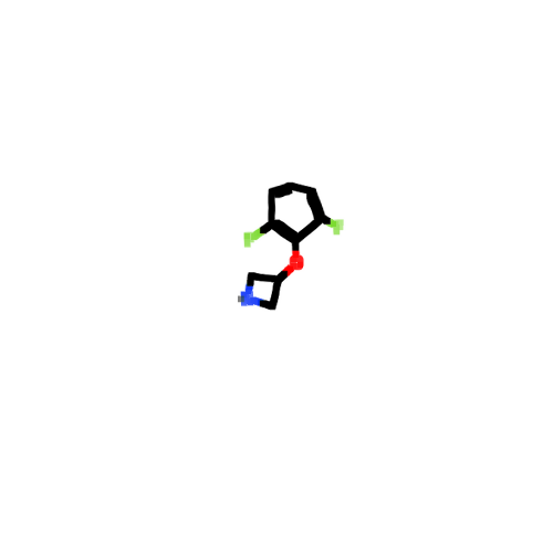 Fc1cccc(F)c1OC1C[N]C1